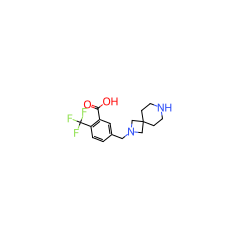 O=C(O)c1cc(CN2CC3(CCNCC3)C2)ccc1C(F)(F)F